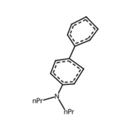 CCCN(CCC)c1ccc(-c2ccccc2)cc1